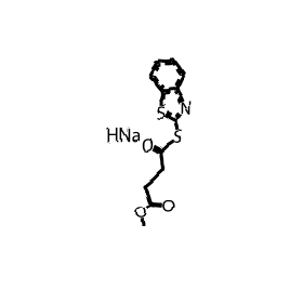 COC(=O)CCC(=O)Sc1nc2ccccc2s1.[NaH]